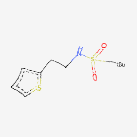 CC(C)(C)S(=O)(=O)NCCc1cccs1